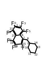 Fc1c(F)c(F)c2c(CC3CCCCC3)c(F)c(F)c(F)c2c1F